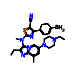 BC1=CC=C(c2nc(N(C)c3c(CC)nc4c(C)cc(N5CCN(CC)CC5)cn34)sc2C#N)CC1